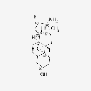 C[C@]12CC[C@H]3[C@@H](CCC4C[C@@H](O)CC[C@@]43C)[C@@H]1C[C@H](F)[C@@H]2N